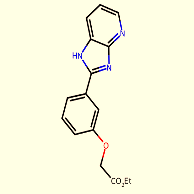 CCOC(=O)COc1cccc(-c2nc3ncccc3[nH]2)c1